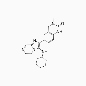 CN1Cc2cc(-c3nc4cnccn4c3NC3CCCCC3)ccc2NC1=O